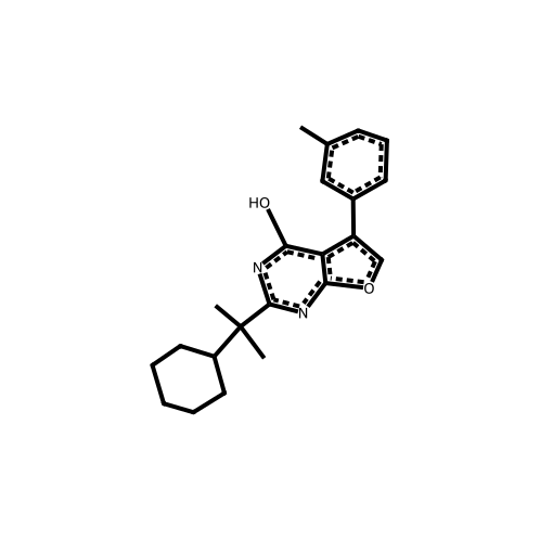 Cc1cccc(-c2coc3nc(C(C)(C)C4CCCCC4)nc(O)c23)c1